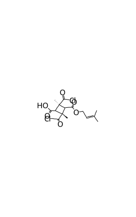 CC(C)=CCOC(=O)C1[C@](C)(C(=O)Cl)C(C(=O)O)[C@@]1(C)C(=O)Cl